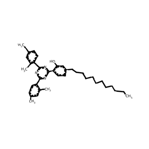 CCCCCCCCCCCCc1ccc(-c2nc(-c3ccc(C)cc3C)nc(-c3ccc(C)cc3C)n2)c(O)c1